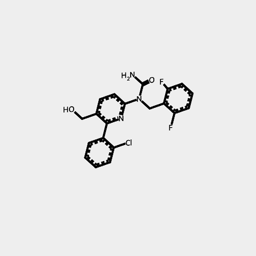 NC(=O)N(Cc1c(F)cccc1F)c1ccc(CO)c(-c2ccccc2Cl)n1